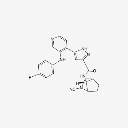 N#CN1CC2CCC1[C@@H]2NC(=O)c1cc(-c2ccncc2Nc2ccc(F)cc2)[nH]n1